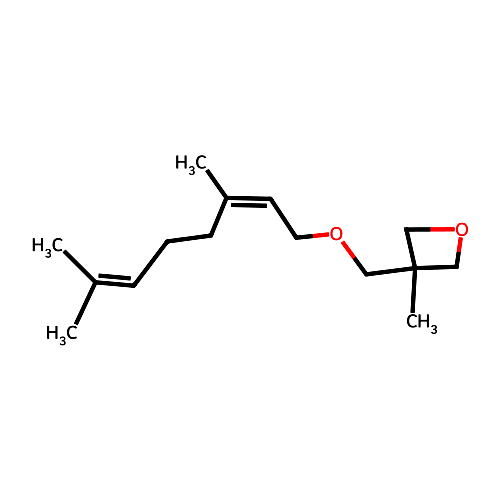 CC(C)=CCCC(C)=CCOCC1(C)COC1